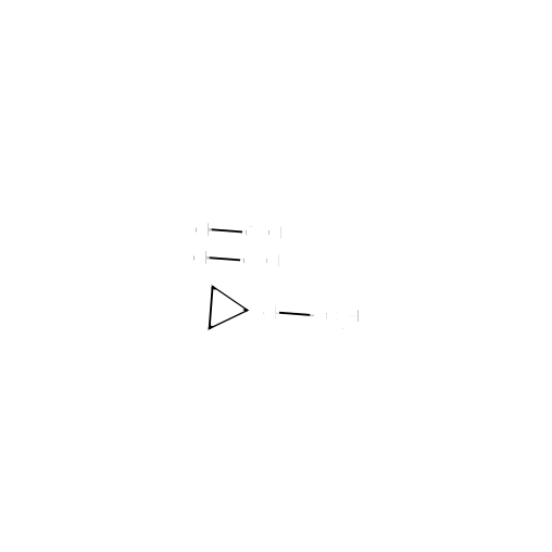 C1CC1.O=C(O)Cl.O=C(O)Cl.O=C(O)Cl